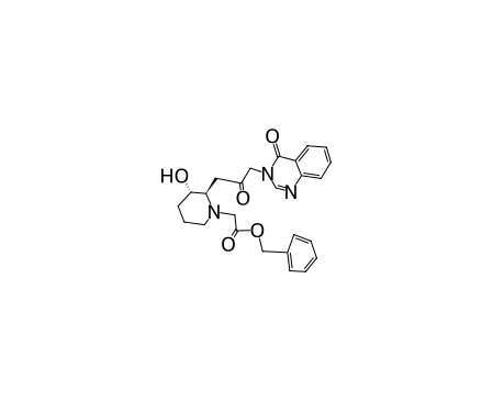 O=C(C[C@@H]1[C@@H](O)CCCN1CC(=O)OCc1ccccc1)Cn1cnc2ccccc2c1=O